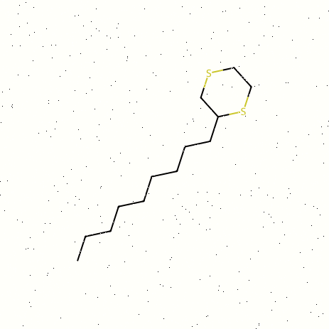 CCCCCCCCCC1CSCCS1